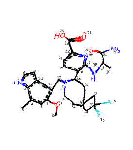 COc1cc(C)c2[nH]ccc2c1CN1CCC2(C[C@@H]1c1ccc(C(=O)O)nc1N[C@H](C)C(N)=O)CC(F)(F)C2